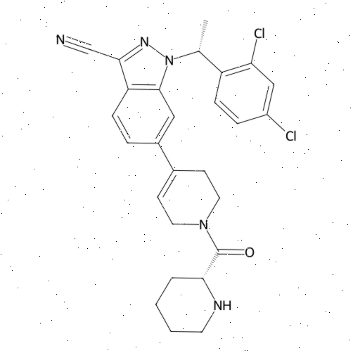 C[C@H](c1ccc(Cl)cc1Cl)n1nc(C#N)c2ccc(C3=CCN(C(=O)[C@H]4CCCCN4)CC3)cc21